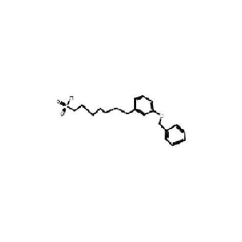 O=S(=O)(Cl)CCCCCCCc1cccc(OCc2ccccc2)c1